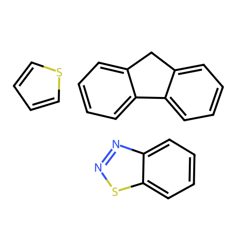 c1ccc2c(c1)Cc1ccccc1-2.c1ccc2snnc2c1.c1ccsc1